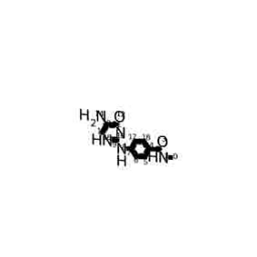 CNC(=O)c1ccc(Nc2nc(=O)c(N)c[nH]2)cc1